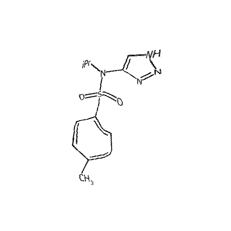 Cc1ccc(S(=O)(=O)N(c2c[nH]nn2)C(C)C)cc1